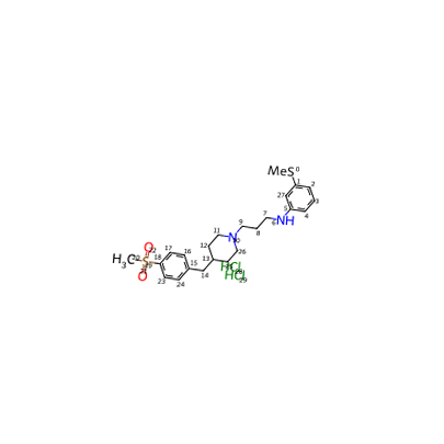 CSc1cccc(NCCCN2CCC(Cc3ccc(S(C)(=O)=O)cc3)CC2)c1.Cl.Cl